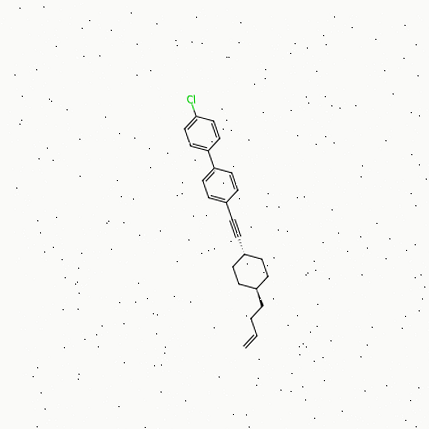 C=CCC[C@H]1CC[C@H](C#Cc2ccc(-c3ccc(Cl)cc3)cc2)CC1